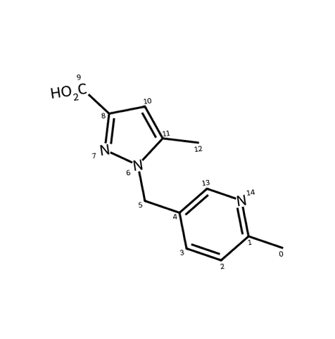 Cc1ccc(Cn2nc(C(=O)O)cc2C)cn1